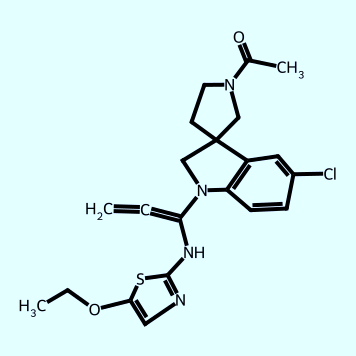 C=C=C(Nc1ncc(OCC)s1)N1CC2(CCN(C(C)=O)C2)c2cc(Cl)ccc21